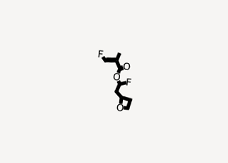 CC(=CF)C(=O)OC(F)CC1CCO1